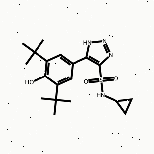 CC(C)(C)c1cc(-c2[nH]nnc2S(=O)(=O)NC2CC2)cc(C(C)(C)C)c1O